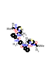 CN[C@@H](C)C(=O)N[C@H]1CCS[C@H]2CC(C)(C)[C@@H](C(=O)N[C@H]3c4ccccc4C[C@H]3C(=O)NC3=C(C)C[C@@H](NC(=O)[C@@H]4Cc5ccccc5[C@@H]4NC(=O)[C@H]4N5C(=O)[C@@H](NC(=O)[C@H](C)NC)CCS[C@H]5CC4(C)C)CC3)N2C1=O